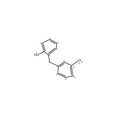 Oc1ccccc1Cc1ccnc(C(F)(F)F)c1